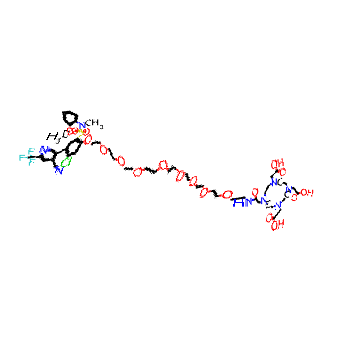 COc1ccccc1N(C)S(=O)(=O)c1cc(-c2cnc(C(F)(F)F)cc2C#N)c(Cl)cc1OCCOCCOCCOCCOCCOCCOCCOCCOCCNC(=O)CN1CCN(CC(=O)O)CCN(CC(=O)O)CCN(CC(=O)O)CC1